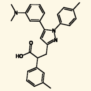 Cc1ccc(-n2nc(CC(C(=O)O)c3cccc(C)c3)cc2-c2cccc(N(C)C)c2)cc1